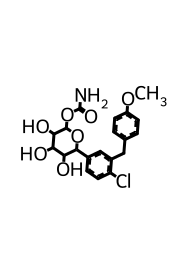 COc1ccc(Cc2cc(C3OC(OC(N)=O)C(O)C(O)C3O)ccc2Cl)cc1